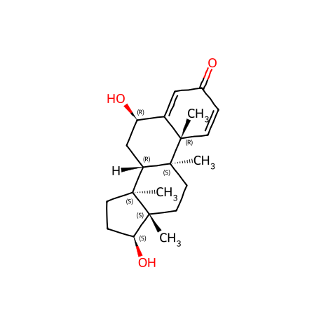 C[C@]12C=CC(=O)C=C1[C@H](O)C[C@@H]1[C@]2(C)CC[C@]2(C)[C@@H](O)CC[C@@]12C